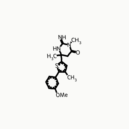 COc1cccc(-c2sc(C3(C)CC(=O)N(C)C(=N)N3)cc2C)c1